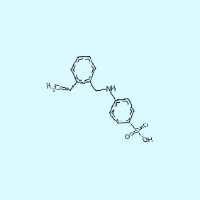 C=Cc1ccccc1CNc1ccc(S(=O)(=O)O)cc1